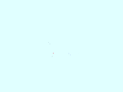 c1ccc(N(c2ccccc2)c2ccccc2-c2ccccc2-n2c3cccc4ccc5cccc2c5c43)cc1